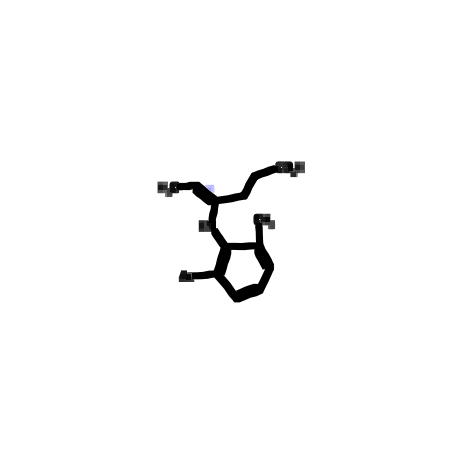 C/C=C(/CCC(=O)O)Nc1c(C)cccc1C(C)=O